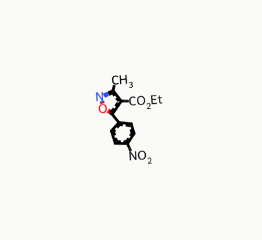 CCOC(=O)c1c(C)noc1-c1ccc([N+](=O)[O-])cc1